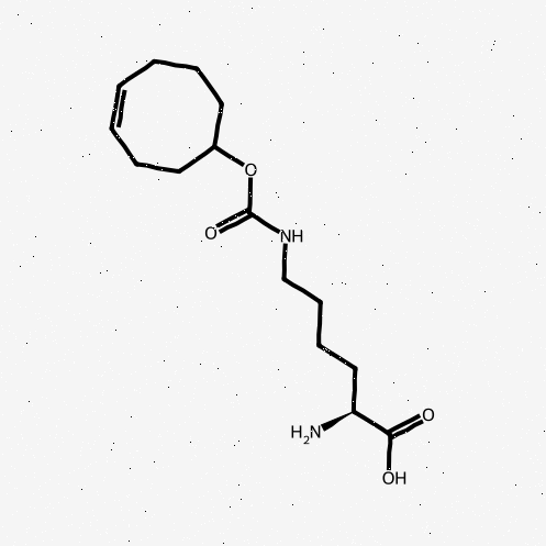 N[C@@H](CCCCNC(=O)OC1CCC=CCCC1)C(=O)O